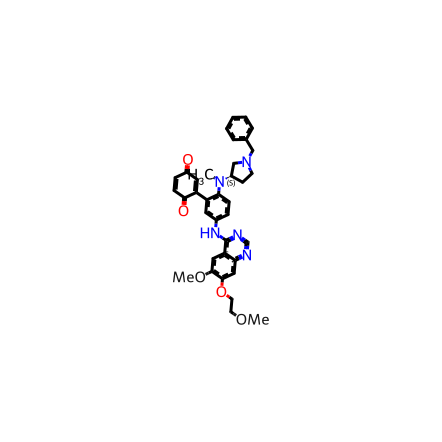 COCCOc1cc2ncnc(Nc3ccc(N(C)[C@H]4CCN(Cc5ccccc5)C4)c(C4=CC(=O)C=CC4=O)c3)c2cc1OC